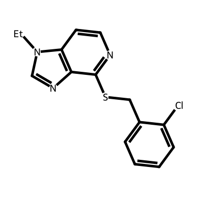 CCn1cnc2c(SCc3ccccc3Cl)nccc21